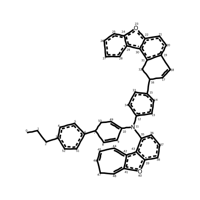 CCCc1ccc(C2C=CC(N(c3ccc(C4C=Cc5ccc6oc7ccccc7c6c5C4)cc3)c3cccc4oc5c(c34)=CC=CCC=5)=CC2)cc1